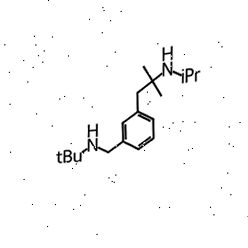 CC(C)NC(C)(C)Cc1cccc(CNC(C)(C)C)c1